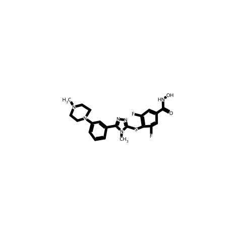 CN1CCN(c2cccc(-c3nnc(Sc4c(F)cc(C(=O)NO)cc4F)n3C)c2)CC1